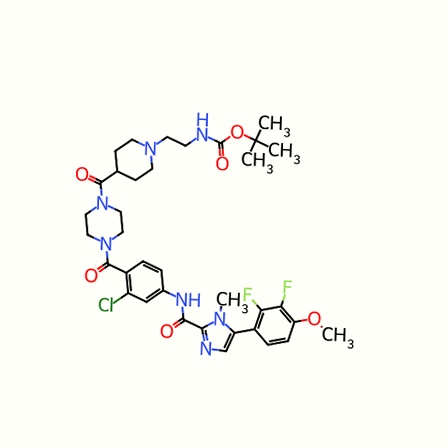 COc1ccc(-c2cnc(C(=O)Nc3ccc(C(=O)N4CCN(C(=O)C5CCN(CCNC(=O)OC(C)(C)C)CC5)CC4)c(Cl)c3)n2C)c(F)c1F